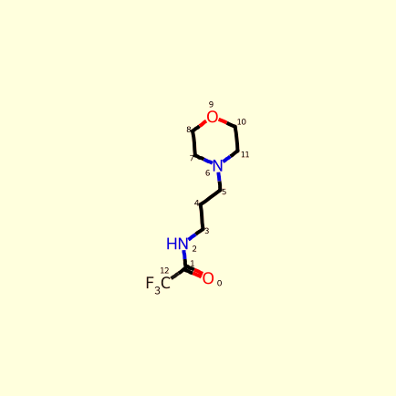 O=C(NCCCN1CCOCC1)C(F)(F)F